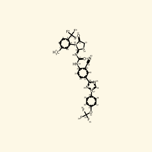 Cc1ccc(C(F)(F)F)c(N2C(=O)CSC2=NC(=O)Nc2ccc(-c3ncn(-c4ccc(OC(F)(F)F)cc4)n3)cc2C#N)c1